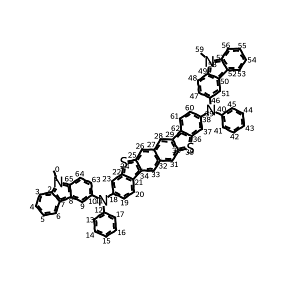 Cn1c2ccccc2c2cc(N(c3ccccc3)c3ccc4c(c3)sc3cc5cc6c(cc5cc34)sc3cc(N(c4ccccc4)c4ccc5c(c4)c4ccccc4n5C)ccc36)ccc21